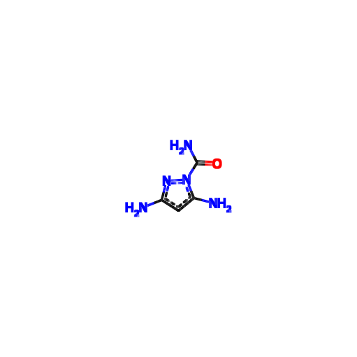 NC(=O)n1nc(N)cc1N